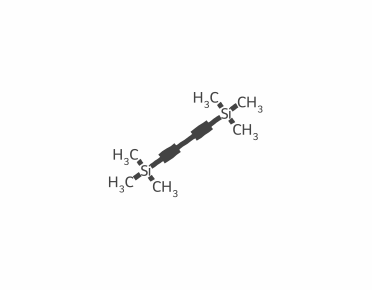 C[Si](C)(C)C#CC#C[Si](C)(C)C